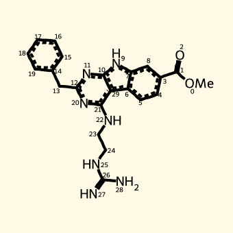 COC(=O)c1ccc2c(c1)[nH]c1nc(Cc3ccccc3)nc(NCCNC(=N)N)c12